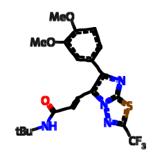 COc1ccc(-c2nc3sc(C(F)(F)F)nn3c2/C=C/C(=O)NC(C)(C)C)cc1OC